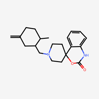 C=C1CCC(C)C(CN2CCC3(CC2)OC(=O)Nc2ccccc23)C1